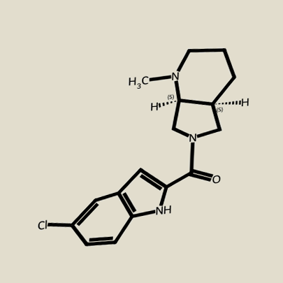 CN1CCC[C@H]2CN(C(=O)c3cc4cc(Cl)ccc4[nH]3)C[C@H]21